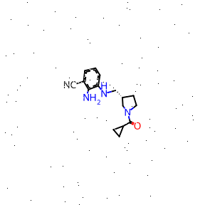 N#Cc1cccc(NC[C@@H]2CCN(C(=O)C3CC3)C2)c1N